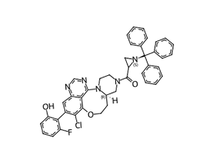 O=C(C1C[N@@]1C(c1ccccc1)(c1ccccc1)c1ccccc1)N1CCN2c3ncnc4cc(-c5c(O)cccc5F)c(Cl)c(c34)OCC[C@@H]2C1